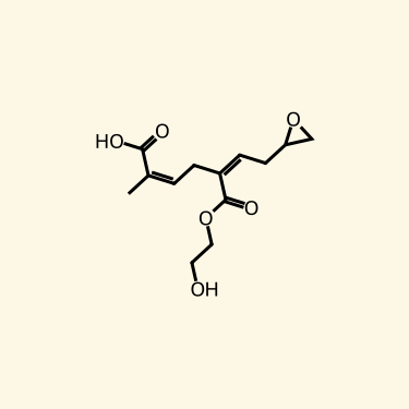 CC(=CCC(=CCC1CO1)C(=O)OCCO)C(=O)O